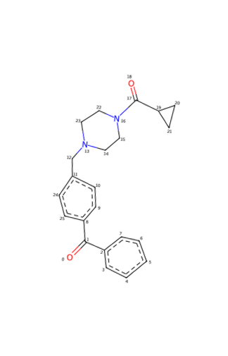 O=C(c1ccccc1)c1ccc(CN2CCN(C(=O)C3CC3)CC2)cc1